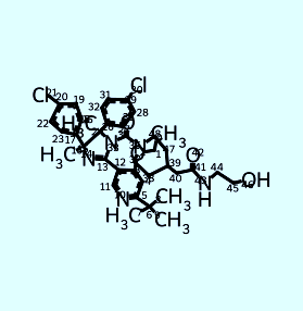 CCOc1cc(C(C)(C)C)ncc1C1=N[C@](C)(c2ccc(Cl)cc2)[C@@](C)(c2ccc(Cl)cc2)N1C(=O)N1CCC(CC(=O)NCCO)CC1